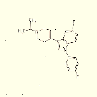 CC(C)N1CC=C(c2cn(-c3ccc(F)cc3)c3ccc(F)cc23)CC1